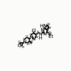 CCOc1nc(NCC2=C(Cl)CN(C3CCN(C4COC4)CC3F)N=C2)nc2[nH]ccc12